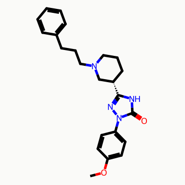 COc1ccc(-n2nc([C@H]3CCCN(CCCc4ccccc4)C3)[nH]c2=O)cc1